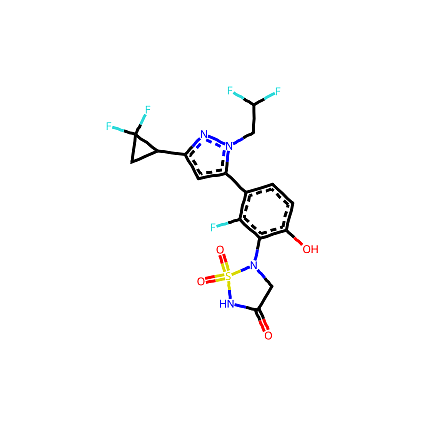 O=C1CN(c2c(O)ccc(-c3cc(C4CC4(F)F)nn3CC(F)F)c2F)S(=O)(=O)N1